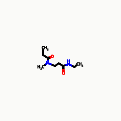 CCNC(=O)CCN(C)C(=O)CC